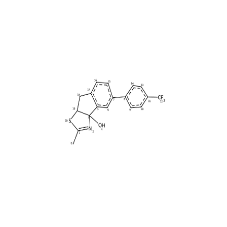 CC1=NC2(O)c3cc(-c4ccc(C(F)(F)F)cc4)ccc3CC2S1